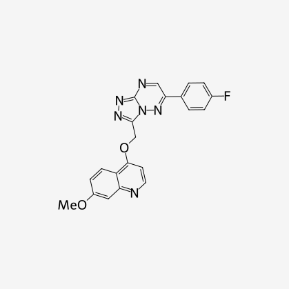 COc1ccc2c(OCc3nnc4ncc(-c5ccc(F)cc5)nn34)ccnc2c1